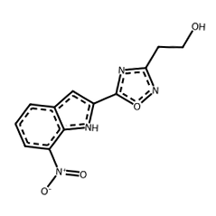 O=[N+]([O-])c1cccc2cc(-c3nc(CCO)no3)[nH]c12